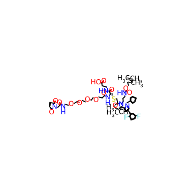 CC(C)(C)[C@H](c1cc(-c2cc(F)ccc2F)cn1Cc1ccccc1)N(CCCNC(=O)OCC[Si](C)(C)C)C(=O)CSC[C@H](NC(=O)CCOCCOCCOCCOCCNC(=O)CN1C(=O)C=CC1=O)C(=O)NCCC(=O)O